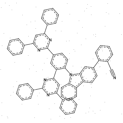 N#Cc1ccccc1-c1ccc2c3ccccc3n(-c3ccc(-c4nc(-c5ccccc5)cc(-c5ccccc5)n4)cc3-c3cc(-c4ccccc4)nc(-c4ccccc4)n3)c2c1